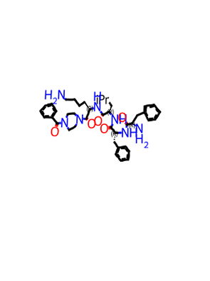 CC(C)C[C@@H](NC(=O)[C@@H](Cc1ccccc1)NC(=O)[C@H](N)Cc1ccccc1)C(=O)N[C@H](CCCCN)C(=O)N1CCN(C(=O)c2ccccc2)CC1